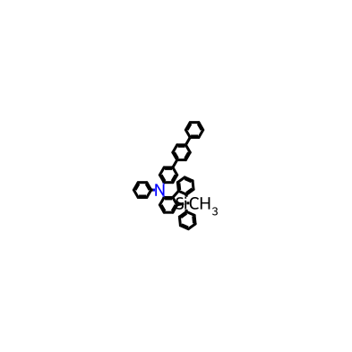 C[Si]1(c2ccccc2)c2ccccc2-c2c(N(c3ccccc3)c3ccc(-c4ccc(-c5ccccc5)cc4)cc3)cccc21